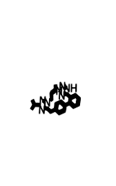 CC=CCn1nc(C(C)C)nc1Cc1ccc(-c2ccccc2-c2nnn[nH]2)cc1